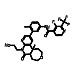 Cc1ccc(NC(=O)c2ccnc(C(F)(F)F)c2F)cc1-c1cnc2c(c1)C1(C)CCOCCC1C(=O)N2CCO